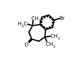 CC1(C)CC(=O)CC(C)(C)c2cc(Br)ccc21